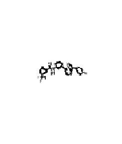 CN1CC=C(c2cnn3c(-c4cccc(NC(=O)c5cccc(C(F)(F)F)c5)c4)ccnc23)CC1